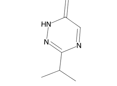 C=C1C=NC(C(C)C)=NN1